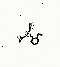 C(OCC1CO1)C1CO1.C=Cc1ccccc1CC